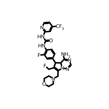 NC1=NC=NN2C(CN3CCOCC3)=C(CF)C(c3ccc(NC(=O)Nc4cc(C(F)(F)F)ccn4)c(F)c3)C12